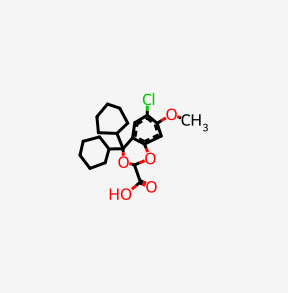 COc1cc2c(cc1Cl)C(C1CCCCC1)(C1CCCCC1)OC(C(=O)O)O2